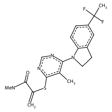 C=C(Sc1ncnc(N2CCc3cc(C(C)(F)F)ccc32)c1C)C(=O)NC